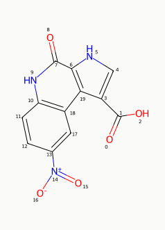 O=C(O)c1c[nH]c2c(=O)[nH]c3ccc([N+](=O)[O-])cc3c12